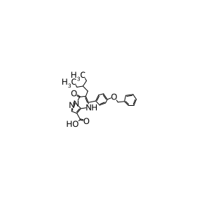 CCC(CC)Cc1c(-c2ccc(OCc3ccccc3)cc2)[nH]c2c(C(=O)O)cnn2c1=O